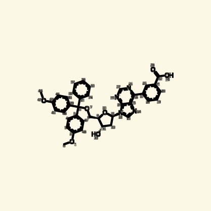 COc1ccc(C(OC[C@H]2O[C@@H](n3cnc4c(-c5cccc(C(=O)O)c5)ncnc43)C[C@@H]2O)(c2ccccc2)c2ccc(OC)cc2)cc1